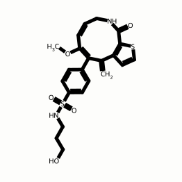 C=C1/C(c2ccc(S(=O)(=O)NCCCO)cc2)=C(OC)\C=C/CNC(=O)c2sccc21